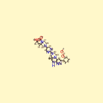 COCOc1ccccc1-c1cc2c(nn1)NC[C@H]1CN(c3ncc(N4CCN(C(=O)O)[C@]5(C[C@H]5C(C)(C)C)C4)cn3)CCN21